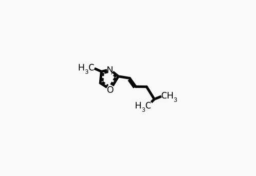 Cc1coc(/C=C/CC(C)C)n1